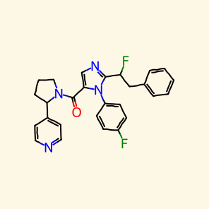 O=C(c1cnc(C(F)Cc2ccccc2)n1-c1ccc(F)cc1)N1CCCC1c1ccncc1